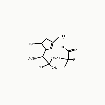 CCCC(C)(OC)C(NC(C)=O)C1C=C(C(=O)O)CC1N.O=C(O)C(F)(F)F